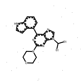 CCC(CC)n1cnc2c(-c3cccc4[nH]ccc34)nc(N3CCOCC3)nc21